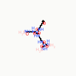 BNC(=O)CCCCNC(=O)CN(CC(=O)NCCCCCNC(=O)CN(CC(=O)NB)CC(=O)NB)CC(=O)NCCCCCC(=O)C(C)(C)C